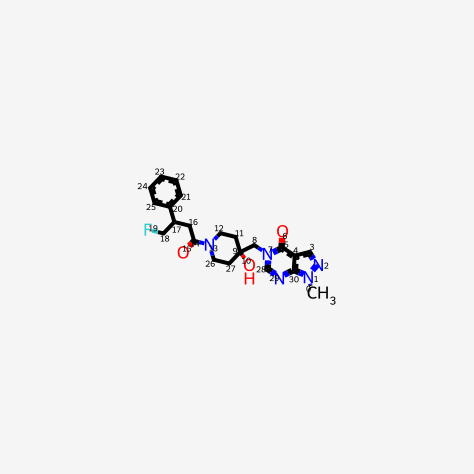 Cn1ncc2c(=O)n(CC3(O)CCN(C(=O)CC(CF)c4ccccc4)CC3)cnc21